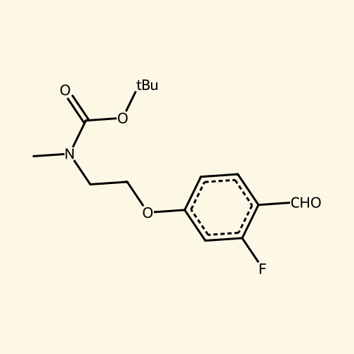 CN(CCOc1ccc(C=O)c(F)c1)C(=O)OC(C)(C)C